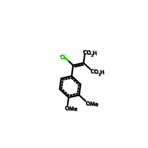 COc1ccc(C(Cl)=C(C(=O)O)C(=O)O)cc1OC